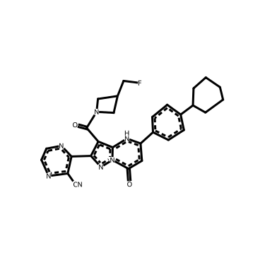 N#Cc1nccnc1-c1nn2c(=O)cc(-c3ccc(C4CCCCC4)cc3)[nH]c2c1C(=O)N1CC(CF)C1